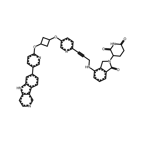 O=C1CCC(N2Cc3c(NCC#Cc4ccc(OC5CC(Oc6ccc(-c7ccc8c(c7)[nH]c7ccncc78)cn6)C5)cn4)cccc3C2=O)C(=O)N1